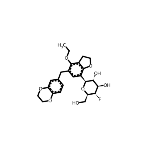 CCOc1c(Cc2ccc3c(c2)OCCO3)cc([C@@H]2O[C@H](CO)[C@@H](F)[C@H](O)[C@H]2O)c2c1CCO2